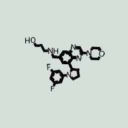 OCCCNCc1cc(C2CCCN2c2cc(F)cc(F)c2)c2nc(N3CCOCC3)cnc2c1